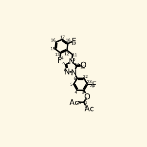 CC(=O)C(Oc1ccc(-n2ncn(Cc3c(F)cccc3F)c2=O)cc1F)C(C)=O